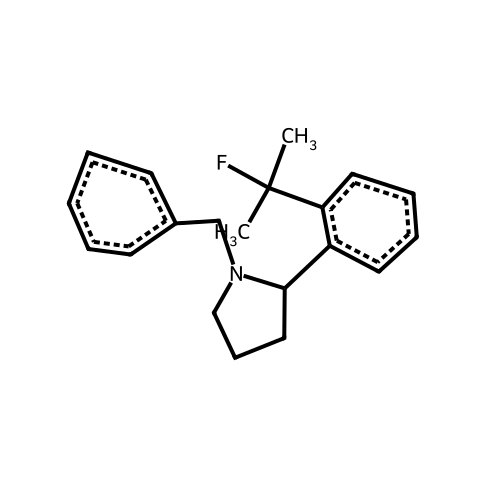 CC(C)(F)c1ccccc1C1CCCN1Cc1ccccc1